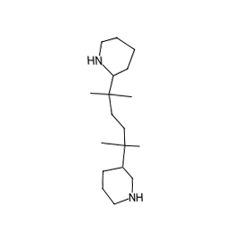 CC(C)(CCC(C)(C)C1CCCCN1)C1CCCNC1